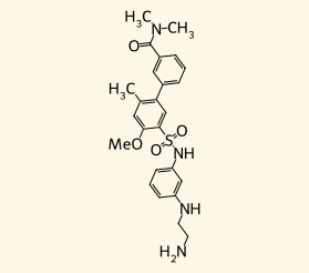 COc1cc(C)c(-c2cccc(C(=O)N(C)C)c2)cc1S(=O)(=O)Nc1cccc(NCCN)c1